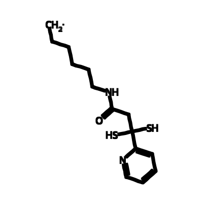 [CH2]CCCCCNC(=O)CC(S)(S)c1ccccn1